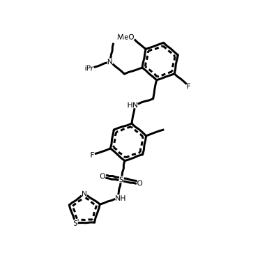 COc1ccc(F)c(CNc2cc(F)c(S(=O)(=O)Nc3cscn3)cc2C)c1CN(C)C(C)C